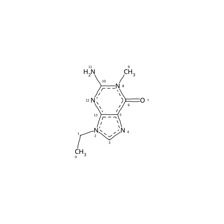 CCn1cnc2c(=O)n(C)c(N)nc21